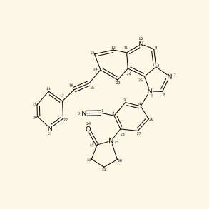 N#Cc1cc(-n2cnc3cnc4ccc(C#Cc5cccnc5)cc4c32)ccc1N1CCCC1=O